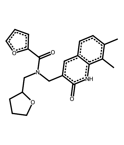 Cc1ccc2cc(CN(CC3CCCO3)C(=O)c3ccco3)c(=O)[nH]c2c1C